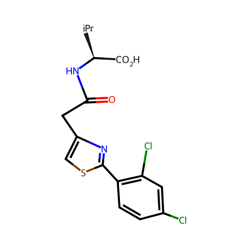 CC(C)[C@H](NC(=O)Cc1csc(-c2ccc(Cl)cc2Cl)n1)C(=O)O